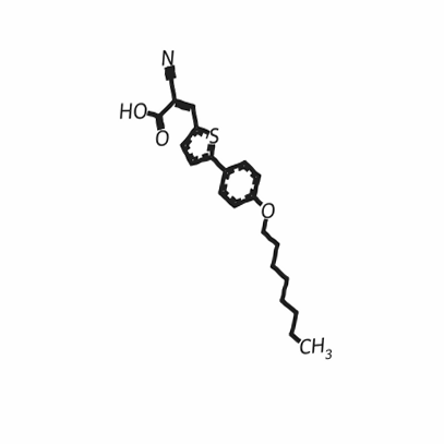 CCCCCCCCOc1ccc(-c2ccc(/C=C(/C#N)C(=O)O)s2)cc1